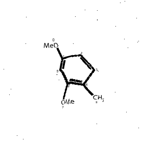 COc1[c]cc(C)c(OC)c1